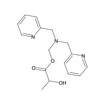 CC(O)C(=O)OCN(Cc1ccccn1)Cc1ccccn1